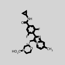 Cc1ccn2c(C[C@H]3CN(C(=O)O)CCO3)c(-c3c(F)cc(C(=O)NC4CC4)cc3F)nc2c1